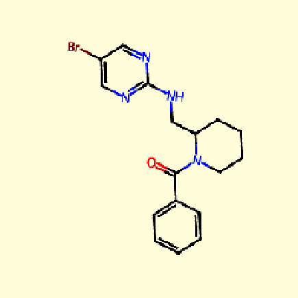 O=C(c1ccccc1)N1CCCCC1CNc1ncc(Br)cn1